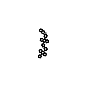 c1ccc(-c2c3ccccc3c(-c3cccc4c3oc3ccc(-c5c6ccccc6c(-c6ccc7oc8cc9ccccc9cc8c7c6)c6ccccc56)cc34)c3ccccc23)cc1